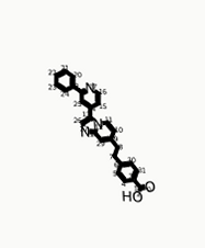 O=C(O)c1ccc(CCc2ccn3c(-c4ccnc(-c5ccccc5)c4)cnc3c2)cc1